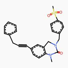 CN1C(=O)N(Cc2ccc(S(C)(=O)=O)cc2)Cc2cc(C#CCc3ccccc3)ccc21